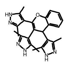 Cc1n[nH]c(C)c1C1=C(c2c(C)n[nH]c2C)C(c2c(C)n[nH]c2C)c2ccccc2O1